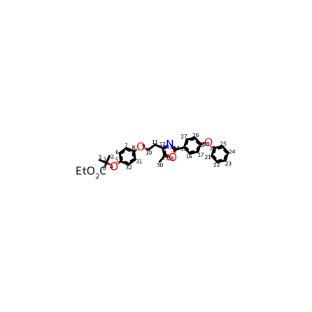 CCOC(=O)C(C)(C)Oc1ccc(OCCc2nc(-c3ccc(Oc4ccccc4)cc3)oc2C)cc1